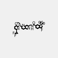 CS(=O)(=O)n1cc(F)c2ccc(C(=O)NCc3cc4nc(N5CCOc6ccc(C7CC7(F)F)nc65)ccc4cn3)cc21